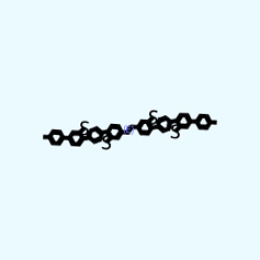 Cc1ccc(-c2ccc3c(c2)sc2cc4c(cc23)sc2cc(/C=C/c3ccc5c(c3)sc3cc6c(cc35)sc3cc(-c5ccc(C)cc5)ccc36)ccc24)cc1